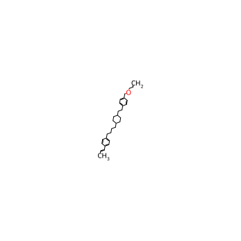 C=CCOCc1ccc(CCC2CCC(CCCCc3ccc(/C=C/C)cc3)CC2)cc1